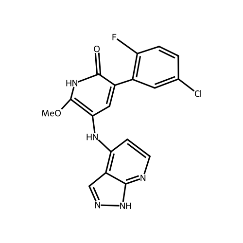 COc1[nH]c(=O)c(-c2cc(Cl)ccc2F)cc1Nc1ccnc2[nH]ncc12